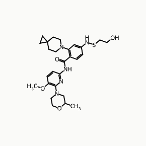 COc1ccc(NC(=O)c2ccc(NSCCO)cc2N2CCC3(CC2)CC3)nc1N1CCOC(C)C1